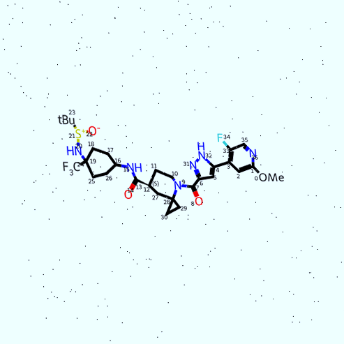 COc1cc(-c2cc(C(=O)N3CC[C@H](C(=O)NC4CCC(N[S+]([O-])C(C)(C)C)(C(F)(F)F)CC4)CC34CC4)n[nH]2)c(F)cn1